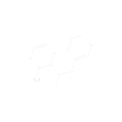 CC(Oc1ccccc1)c1ccccc1N